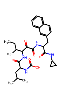 CCC(C)C(NC(=O)C(CC(C)C)NC(=O)O)C(=O)C(=O)NC(Cc1ccc2ccccc2c1)C(=O)NC1CC1